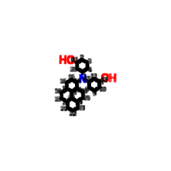 Oc1cccc(N(c2cccc(O)c2)c2ccc3ccc4cccc5ccc2c3c45)c1